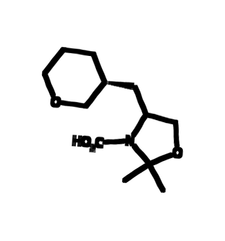 CC1(C)OCC(C[C@H]2CCCOC2)N1C(=O)O